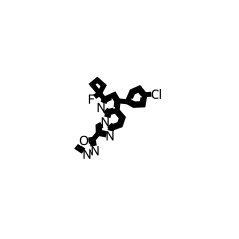 FC1(c2cc(-c3ccc(Cl)cc3)c3ccc4nc(-c5nnco5)cn4c3n2)CCC1